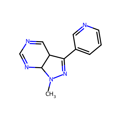 CN1N=C(c2cccnc2)C2C=NC=NC21